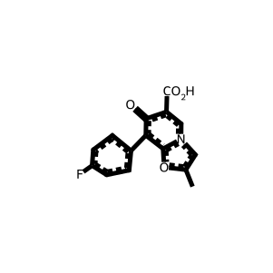 Cc1cn2cc(C(=O)O)c(=O)c(-c3ccc(F)cc3)c2o1